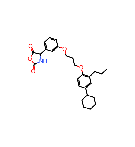 CCCc1cc(C2CCCCC2)ccc1OCCCOc1cccc(C2NC(=O)OC2=O)c1